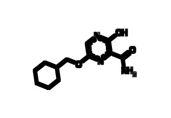 NC(=O)c1nc(OCC2CCCCC2)cnc1O